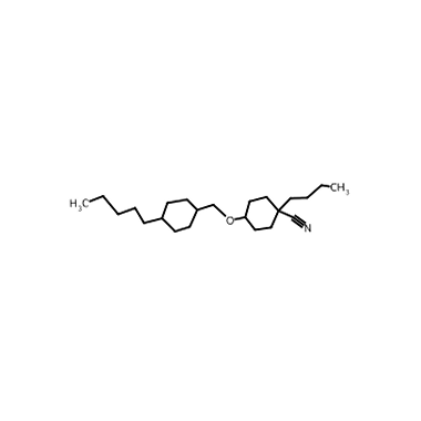 CCCCCC1CCC(COC2CCC(C#N)(CCCC)CC2)CC1